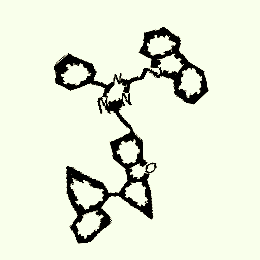 c1ccc(-c2nc(-c3ccc4c(c3)oc3cccc(-c5cccc6ccccc56)c34)nc(-n3c4ccccc4c4ccccc43)n2)cc1